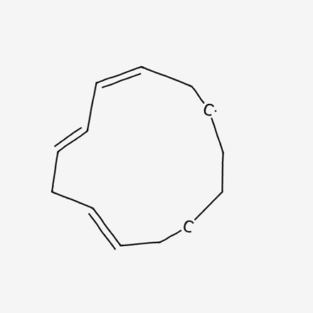 [CH]1C/C=C\C=C\C/C=C/CCCC1